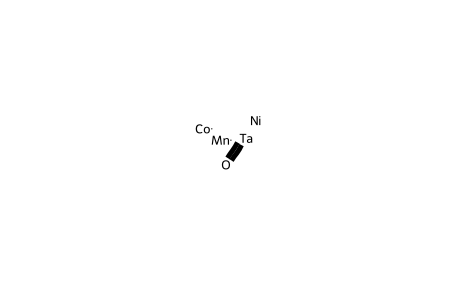 [Co].[Mn].[Ni].[O]=[Ta]